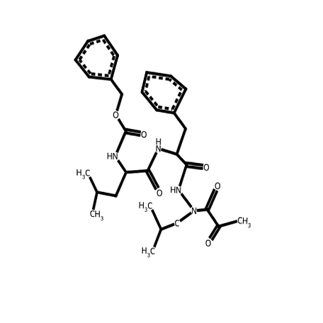 CC(=O)C(=O)N(CC(C)C)NC(=O)C(Cc1ccccc1)NC(=O)C(CC(C)C)NC(=O)OCc1ccccc1